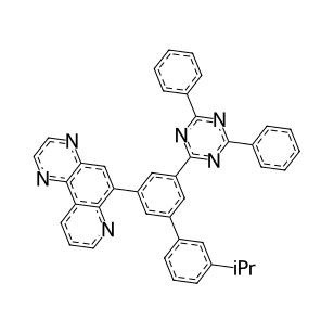 CC(C)c1cccc(-c2cc(-c3nc(-c4ccccc4)nc(-c4ccccc4)n3)cc(-c3cc4nccnc4c4cccnc34)c2)c1